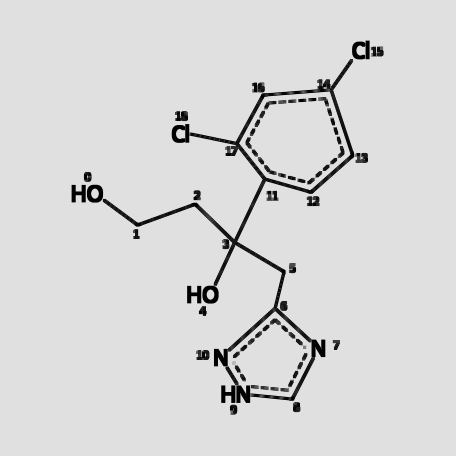 OCCC(O)(Cc1nc[nH]n1)c1ccc(Cl)cc1Cl